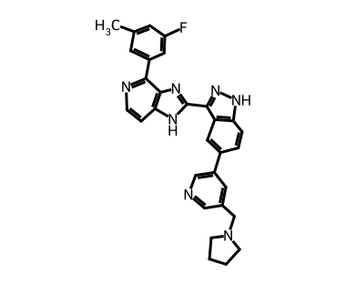 Cc1cc(F)cc(-c2nccc3[nH]c(-c4n[nH]c5ccc(-c6cncc(CN7CCCC7)c6)cc45)nc23)c1